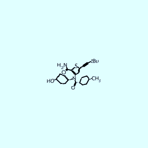 CC(C)(C)C#Cc1cc(N(C(=O)[C@H]2CC[C@H](C)CC2)[C@H]2CC[C@@H](O)CC2)c(C(N)=O)s1